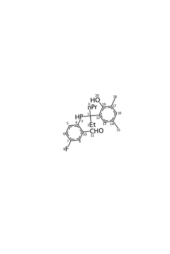 CCCC(CC)(Pc1ccc(F)cc1C=O)c1cc(C)cc(C)c1O